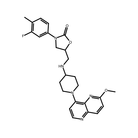 COc1ccc2nccc(N3CCC(NCC4CN(c5ccc(C)c(F)c5)C(=O)O4)CC3)c2n1